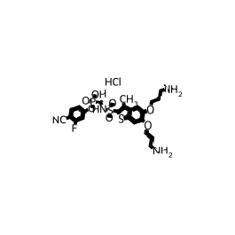 Cc1c(S(=O)(=O)NCP(=O)(O)Oc2ccc(C#N)c(F)c2)sc2cc(OCCCN)c(OCCCN)cc12.Cl